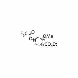 CCOC(=O)[C@@H]1CCN(OC(=O)C(F)(F)F)C[C@@H]1OC